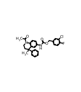 CC(=O)N1CCC(C)(c2ccccc2)c2cc(NC(=O)OCc3ccc(F)c(Cl)c3)ccc21